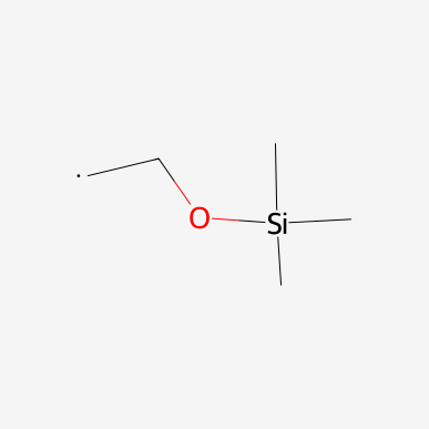 [CH2]CO[Si](C)(C)C